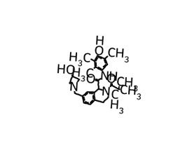 Cc1cc(NC(=O)C2c3cc(CN4CC(O)C4)ccc3CCN2C(=O)C(C)(C)C)c(C)c(C)c1O